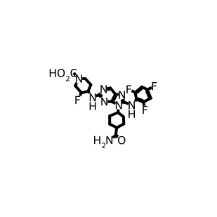 NC(=O)C1CCC(n2c(Nc3c(F)cc(F)cc3F)nc3cnc(NC4CCN(C(=O)O)CC4F)nc32)CC1